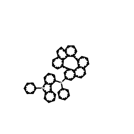 c1ccc(N(c2cc3ccc4cccc5c6cccc7ccc8cccc(c(c2)c3c45)c8c76)c2cccc3c2c2ccccc2n3-c2ccccc2)cc1